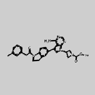 Cc1cccc(CC(=O)N2CCc3cc(-c4cn(C5CN(C(=O)OC(C)(C)C)C5)c5ncnc(N)c45)ccc32)c1